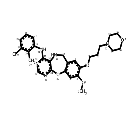 COc1cc2c(cc1OCCCN1CCOCC1)CNc1c(Nc3cccc(Cl)c3C)ncnc1O2